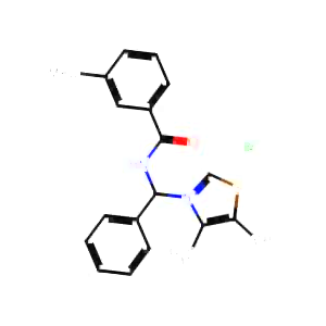 COc1cccc(C(=O)NC(c2ccccc2)[n+]2csc(C)c2C)c1.[Br-]